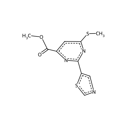 COC(=O)c1cc(SC)nc(-c2cncs2)n1